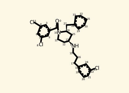 O=C(c1cc(Cl)cc(Cl)c1)N1CC[C@H](NCCCc2cccc(Cl)c2)C[C@@H]1Cc1ccccc1